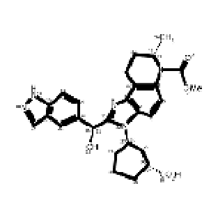 COC(=O)N1c2ccc3c(nc([C@@H](O)c4ccc5[nH]ncc5c4)n3[C@@H]3CCC[C@@H](C(=O)O)C3)c2CC[C@@H]1C